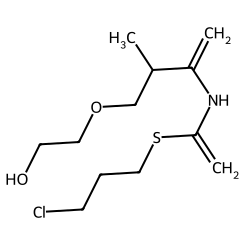 C=C(NC(=C)C(C)COCCO)SCCCCl